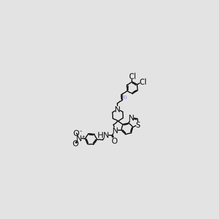 O=C(NCc1ccc([N+](=O)[O-])cc1)N1CC2(CCN(C/C=C/c3ccc(Cl)c(Cl)c3)CC2)c2c1ccc1scnc21